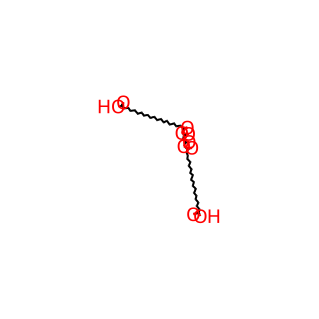 O=C(O)CCCCCCCCCCCCCCCCCCC(=O)OC(=O)CC(=O)OC(=O)CCCCCCCCCCCCCCCCCCC(=O)O